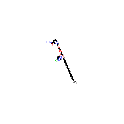 CCCCCCCCCCCCCCCCCCOCC(COCCOCC[n+]1cccc(C(N)=O)c1)Oc1ccncn1.[Cl-]